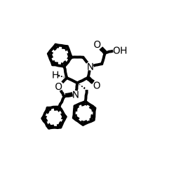 O=C(O)CN1Cc2ccccc2[C@@H]2OC(c3ccccc3)=N[C@]2(Cc2ccccc2)C1=O